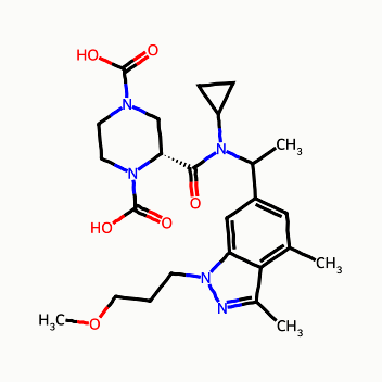 COCCCn1nc(C)c2c(C)cc(C(C)N(C(=O)[C@H]3CN(C(=O)O)CCN3C(=O)O)C3CC3)cc21